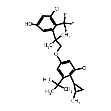 CC1CC1c1c(Cl)cc(OCC(C)(C)c2cc(O)cc(Cl)c2C(F)(F)F)cc1C(C)(C)C